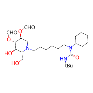 CC(C)(C)NC(=O)N(CCCCCCN1C[C@H](OC=O)[C@@H](OC=O)[C@H](O)[C@H]1CO)C1CCCCC1